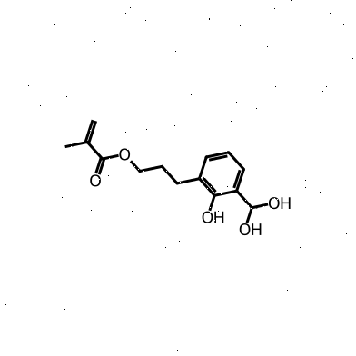 C=C(C)C(=O)OCCCc1cccc([C](O)O)c1O